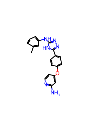 Cc1cccc(Nc2nnc(-c3ccc(Oc4ccnc(N)c4)cc3)[nH]2)c1